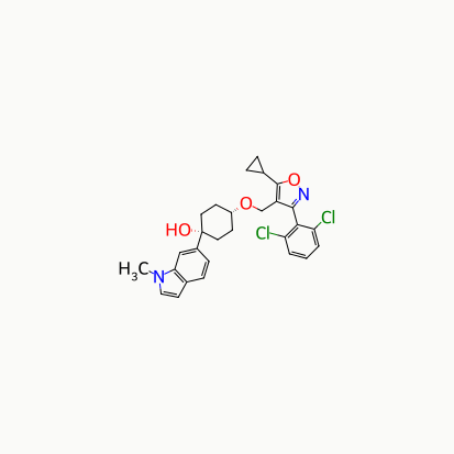 Cn1ccc2ccc([C@]3(O)CC[C@@H](OCc4c(-c5c(Cl)cccc5Cl)noc4C4CC4)CC3)cc21